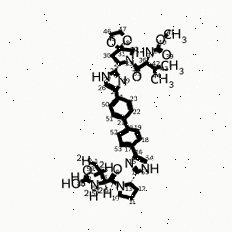 [2H]CC([2H])(C)[C@@]([2H])(C(=O)N1CCC[C@H]1c1nc(-c2ccc(-c3ccc(-c4c[nH]c([C@@H]5CC6(CN5C(=O)[C@@H](NC(=O)OC)C(C)C)OCCO6)n4)cc3)cc2)c[nH]1)N([2H])C(=O)O